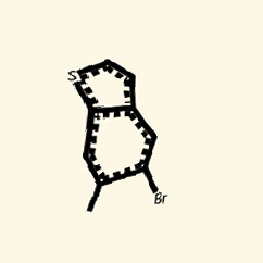 Cc1cc2sccc2cc1Br